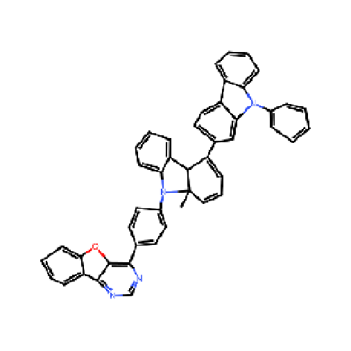 CC12C=CC=C(c3ccc4c5ccccc5n(-c5ccccc5)c4c3)C1c1ccccc1N2c1ccc(-c2ncnc3c2oc2ccccc23)cc1